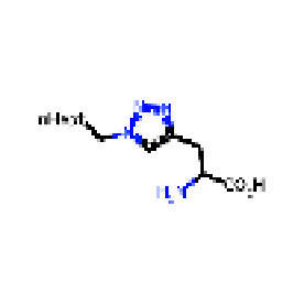 CCCCCCCCn1cc(CC(N)C(=O)O)nn1